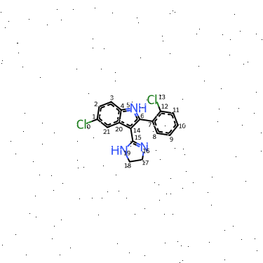 Clc1ccc2[nH]c(-c3ccccc3Cl)c(C3=NCCN3)c2c1